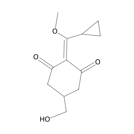 COC(=C1C(=O)CC(CO)CC1=O)C1CC1